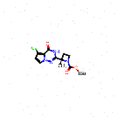 CC(C)(C)OC(=O)N1CC[C@@]1(C)c1nn2ccc(Cl)c2c(=O)[nH]1